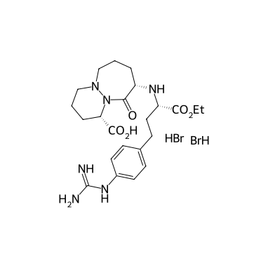 Br.Br.CCOC(=O)[C@H](CCc1ccc(NC(=N)N)cc1)N[C@H]1CCCN2CCC[C@@H](C(=O)O)N2C1=O